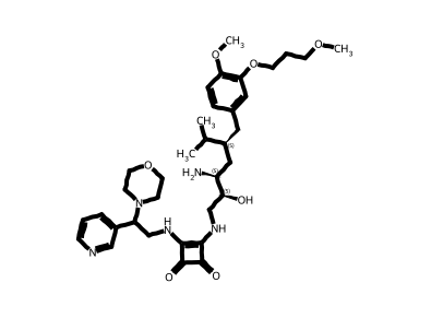 COCCCOc1cc(C[C@@H](C[C@H](N)[C@@H](O)CNc2c(NCC(c3cccnc3)N3CCOCC3)c(=O)c2=O)C(C)C)ccc1OC